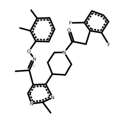 C/C(=N\Oc1cccc(C)c1C)c1cnc(C)nc1C1CCN(C(=O)Cc2c(F)cccc2F)CC1